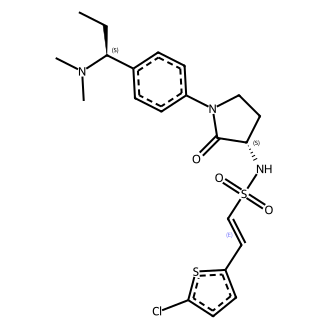 CC[C@@H](c1ccc(N2CC[C@H](NS(=O)(=O)/C=C/c3ccc(Cl)s3)C2=O)cc1)N(C)C